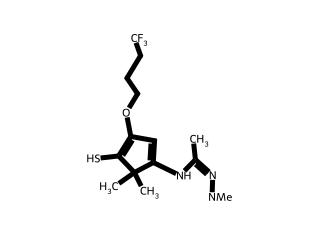 CN/N=C(/C)NC1=CC(OCCCC(F)(F)F)=C(S)C1(C)C